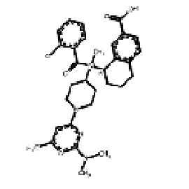 Cc1cc(N2CCC([N+](C)(C(=O)c3ccccc3Cl)[C@@H]3CCCc4ccc(C(=O)O)cc43)CC2)nc(N(C)C)n1